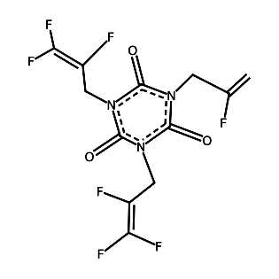 C=C(F)Cn1c(=O)n(CC(F)=C(F)F)c(=O)n(CC(F)=C(F)F)c1=O